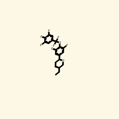 CCC1CCC(c2cc(F)c(OC(F)(F)c3cc(F)c(F)c(F)c3)c(F)c2)OC1